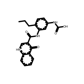 CCCc1ccc(NC(=O)O)cc1NC(=O)c1c[nH]c2ccccc2c1=O